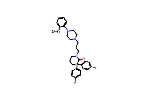 COc1ccccc1N1CCN(CCCN2CCCC(c3ccc(F)cc3)(c3ccc(F)cc3)C2=O)CC1